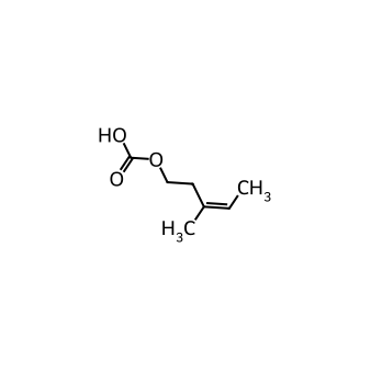 CC=C(C)CCOC(=O)O